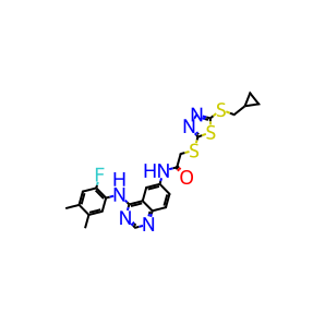 Cc1cc(F)c(Nc2ncnc3ccc(NC(=O)CSc4nnc(SCC5CC5)s4)cc23)cc1C